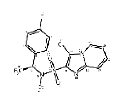 CCN([C@H](c1ccc(F)cc1)C(F)(F)F)S(=O)(=O)c1nc2ccccn2c1Cl